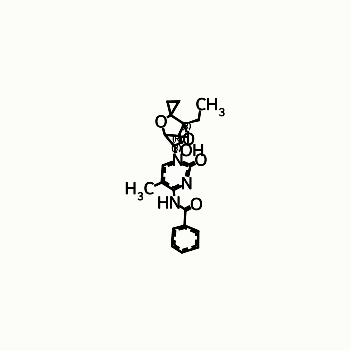 CC[C@]12O[C@@H](n3cc(C)c(NC(=O)c4ccccc4)nc3=O)C(OC13CC3)[C@H]2O